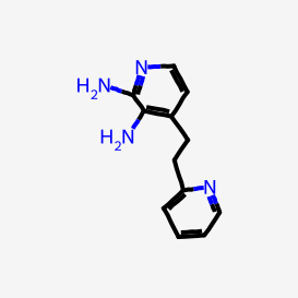 Nc1nccc(CCc2ccccn2)c1N